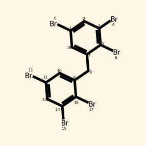 Brc1[c]c(Br)c(Br)c(Cc2cc(Br)[c]c(Br)c2Br)c1